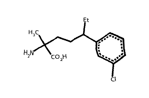 CCC(CCC(C)(N)C(=O)O)c1cccc(Cl)c1